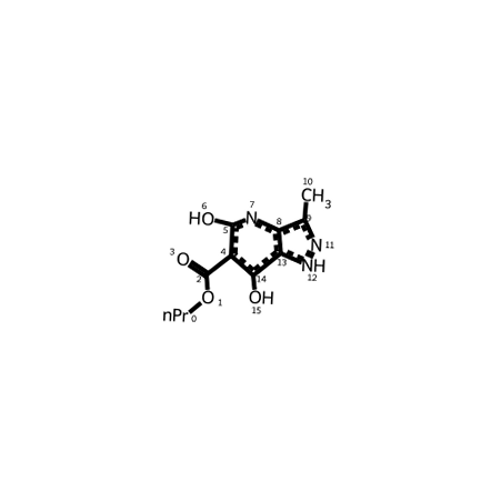 CCCOC(=O)c1c(O)nc2c(C)n[nH]c2c1O